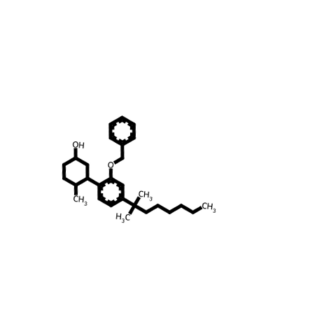 CCCCCCC(C)(C)c1ccc(C2CC(O)CCC2C)c(OCc2ccccc2)c1